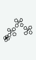 O=P([O-])([O-])[O-].c1ccc([P+](c2ccccc2)(c2ccccc2)c2ccccc2)cc1.c1ccc([P+](c2ccccc2)(c2ccccc2)c2ccccc2)cc1.c1ccc([P+](c2ccccc2)(c2ccccc2)c2ccccc2)cc1